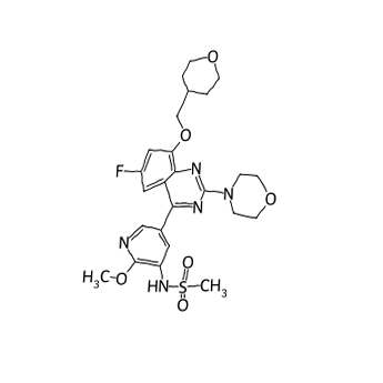 COc1ncc(-c2nc(N3CCOCC3)nc3c(OCC4CCOCC4)cc(F)cc23)cc1NS(C)(=O)=O